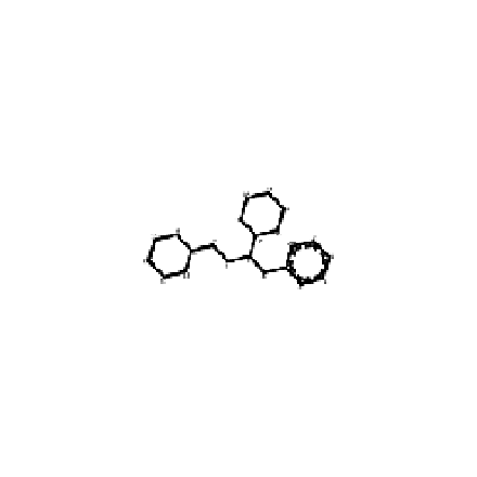 c1ccc(CC(CCC2CCCCC2)C2CCCCC2)cc1